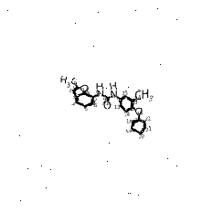 Cc1cc2cccc(NC(=O)Nc3ccc(Oc4ccccc4)c(C)c3)c2o1